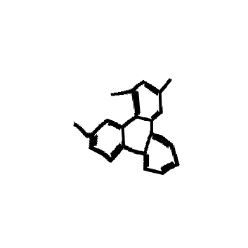 Cc1ccc2c3ccccc3c3cc(C)cc(C)c3c2c1